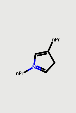 CCCC1=C[N+](CCC)=CC1